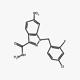 NNC(=O)c1nn(Cc2ccc(Cl)cc2F)c2cc([N+](=O)[O-])ccc12